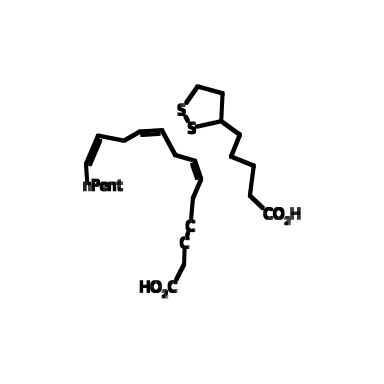 CCCCC/C=C\C/C=C\C/C=C\CCCCC(=O)O.O=C(O)CCCCC1CCSS1